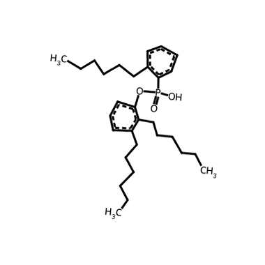 CCCCCCc1ccccc1P(=O)(O)Oc1cccc(CCCCCC)c1CCCCCC